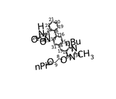 CCCCc1nc(C)nc(OCCOCCC)c1Cc1ccc(-c2ccccc2-c2noc(=O)[nH]2)cc1